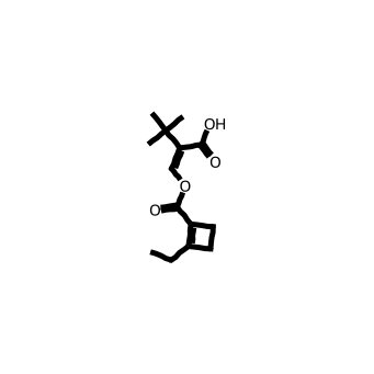 CCC1=C(C(=O)OC=C(C(=O)O)C(C)(C)C)CC1